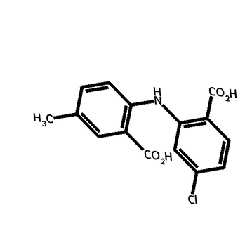 Cc1ccc(Nc2cc(Cl)ccc2C(=O)O)c(C(=O)O)c1